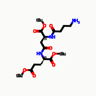 CC(C)(C)OC(=O)CC[C@H](NC(=O)C[C@H](NC(=O)CCCN)C(=O)OC(C)(C)C)C(=O)OC(C)(C)C